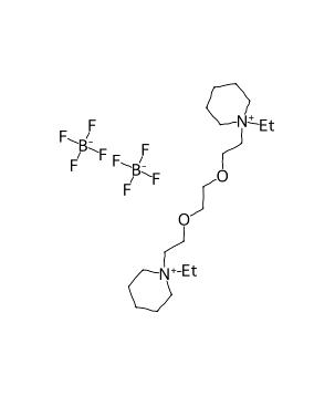 CC[N+]1(CCOCCOCC[N+]2(CC)CCCCC2)CCCCC1.F[B-](F)(F)F.F[B-](F)(F)F